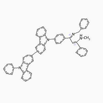 CN/C(=C\C(=N/Cc1ccccc1)c1ccc(-n2c3ccccc3c3cc(-c4ccc5c(c4)c4ccccc4n5-c4ccccc4)ccc32)cc1)c1ccccc1